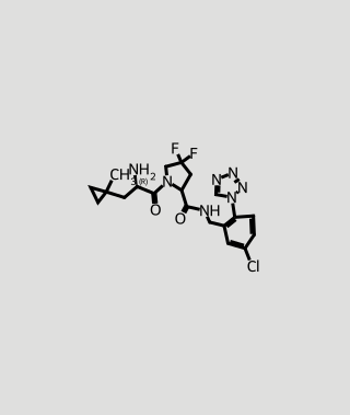 CC1(C[C@@H](N)C(=O)N2CC(F)(F)CC2C(=O)NCc2cc(Cl)ccc2-n2cnnn2)CC1